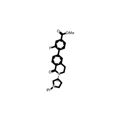 COC(=O)c1ccc(-c2ccc3c(c2)CCN([C@@H]2CCN(C(C)C)C2)C3=O)c(F)c1